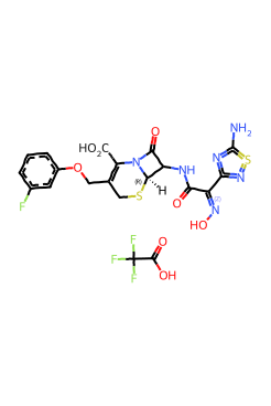 Nc1nc(/C(=N/O)C(=O)NC2C(=O)N3C(C(=O)O)=C(COc4cccc(F)c4)CS[C@H]23)ns1.O=C(O)C(F)(F)F